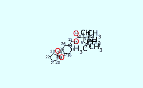 CC(C)C(C)(CC(C)(C)C)C(=O)OCC1CCC2OC3(CCCC3)OC2C1